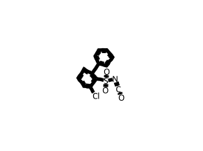 O=C=NS(=O)(=O)c1c(Cl)cccc1-c1ccccc1